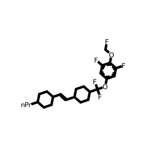 CCCC1CCC(/C=C/C2CCC(C(F)(F)Oc3cc(F)c(OCF)c(F)c3)CC2)CC1